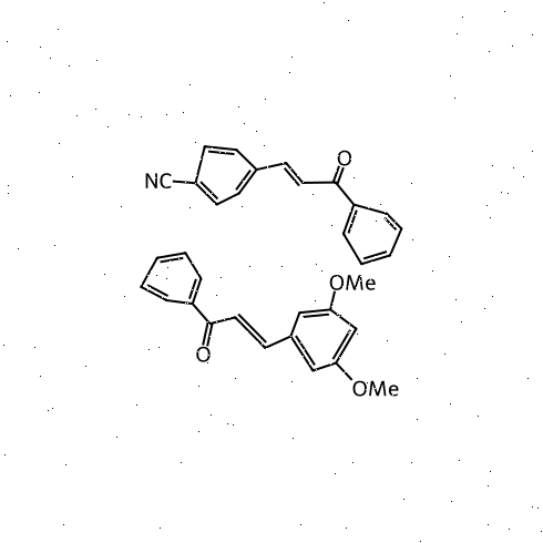 COc1cc(C=CC(=O)c2ccccc2)cc(OC)c1.N#Cc1ccc(C=CC(=O)c2ccccc2)cc1